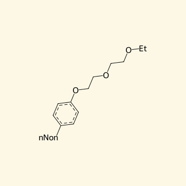 [CH2]COCCOCCOc1ccc(CCCCCCCCC)cc1